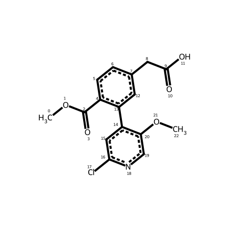 COC(=O)c1ccc(CC(=O)O)cc1-c1cc(Cl)ncc1OC